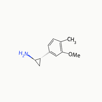 COc1cc([C@@H]2C[C@H]2N)ccc1C